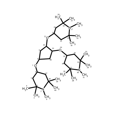 CN1C(C)(C)CC(OC2CC(OC3CC(C)(C)N(C)C(C)(C)C3)C(OC3CC(C)(C)N(C)C(C)(C)C3)C2)CC1(C)C